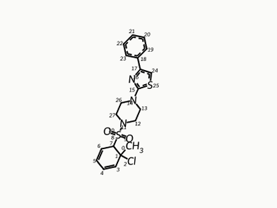 CC1(Cl)C=CC=CC1S(=O)(=O)N1CCN(c2nc(-c3ccccc3)cs2)CC1